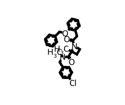 CN(Cc1ccc(Cl)cc1)C(=O)C1(C)CCN1C(=O)Cc1ccccc1OCc1ccccc1